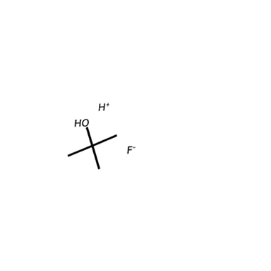 CC(C)(C)O.[F-].[H+]